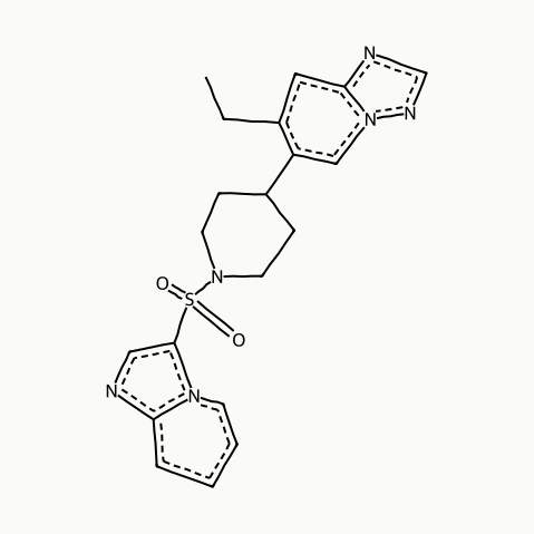 CCc1cc2ncnn2cc1C1CCN(S(=O)(=O)c2cnc3ccccn23)CC1